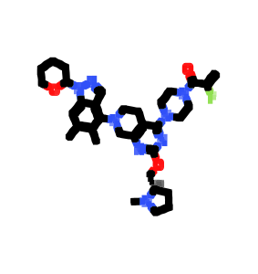 C=C(F)C(=O)N1CCN(c2nc(OC[C@@H]3CCCN3C)nc3c2CCN(c2c(C)c(C)cc4c2cnn4C2CCCCO2)C3)CC1